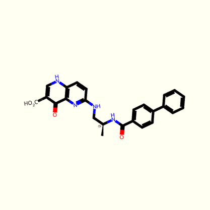 C[C@@H](CNc1ccc2[nH]cc(C(=O)O)c(=O)c2n1)NC(=O)c1ccc(-c2ccccc2)cc1